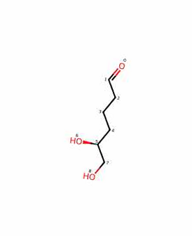 O=CCCC[C@H](O)CO